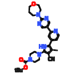 Cc1c(-c2ccnc(-c3cnc(N4CCCOCC4)nc3)c2)[nH]c(N2CCN(C(=O)OC(C)(C)C)CC2)c1C#N